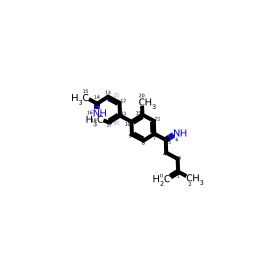 C=C(C)CCC(=N)c1ccc(C(/C=C\C(C)=N)=C/C)c(C)c1